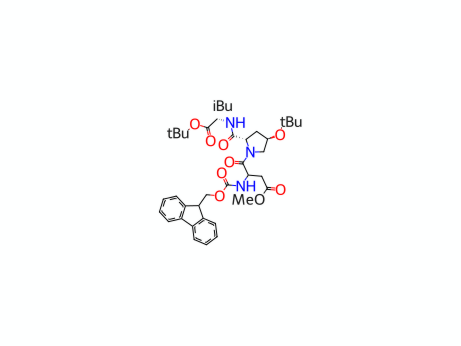 CC[C@H](C)[C@H](NC(=O)[C@@H]1C[C@@H](OC(C)(C)C)CN1C(=O)C(CC(=O)OC)NC(=O)OCC1c2ccccc2-c2ccccc21)C(=O)OC(C)(C)C